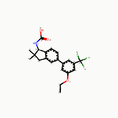 CCOc1cc(-c2ccc3c(c2)CC(C)(C)C3NC(=O)O)cc(C(F)(F)F)c1